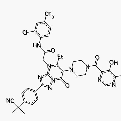 CCc1c(N2CCN(C(=O)c3ncnc(C)c3O)CC2)c(=O)n2nc(-c3ccc(C(C)(C)C#N)cc3)nc2n1CC(=O)Nc1ccc(C(F)(F)F)cc1Cl